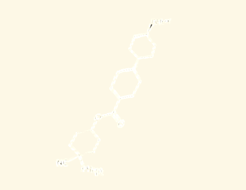 CCCCCCCC1(C#N)CCC(OC(=O)C2CCC([C@H]3CC[C@H](CCCCCC)CC3)CC2)CC1